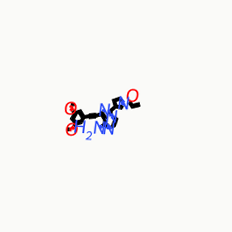 C=CC(=O)N1CCC(c2nc(C#Cc3cc(OC)cc(OC)c3)c3c(N)nccn23)C1